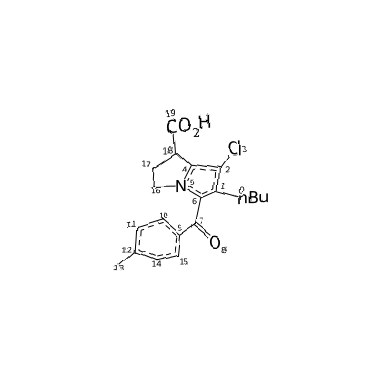 CCCCc1c(Cl)c2n(c1C(=O)c1ccc(C)cc1)CCC2C(=O)O